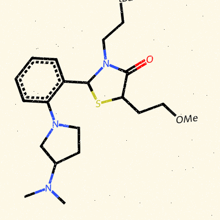 COCCC1SC(c2ccccc2N2CCC(N(C)C)C2)N(CCC(C)(C)C)C1=O